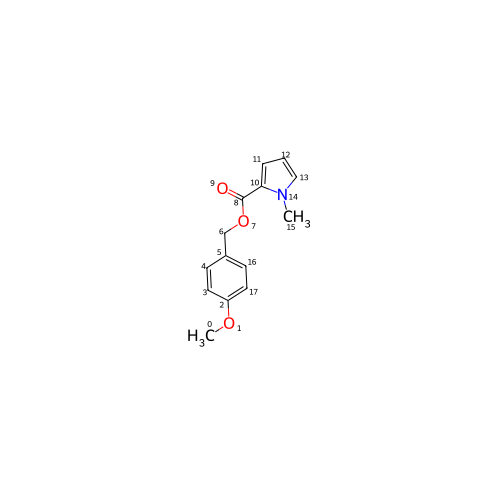 COc1ccc(COC(=O)c2cccn2C)cc1